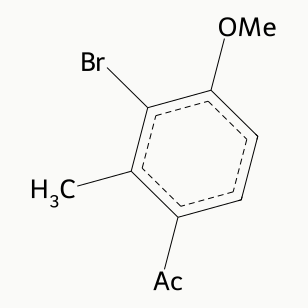 COc1ccc(C(C)=O)c(C)c1Br